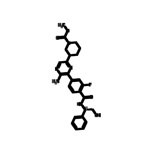 COC(=O)N1CCCC(c2cnc(N)c(-c3ccc(C(=O)N[C@H](CO)c4ccccc4)c(F)c3)n2)C1